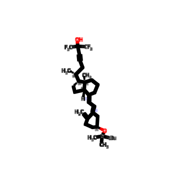 C=C1CC[C@H](O[Si](C)(C)C(C)(C)C)C/C1=C/C=C1\CCC[C@]2(C)[C@@H]([C@H](C)CC#CC(O)(C(F)(F)F)C(F)(F)F)CC[C@@H]12